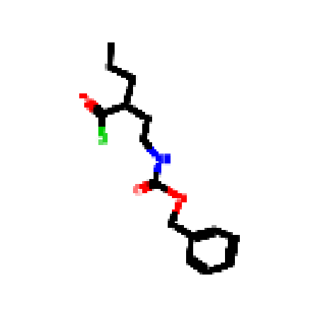 CCCC(CCNC(=O)OCc1ccccc1)C(=O)Cl